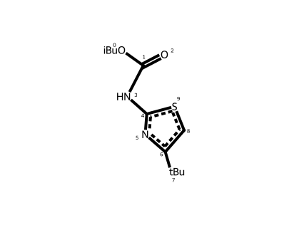 CC(C)COC(=O)Nc1nc(C(C)(C)C)cs1